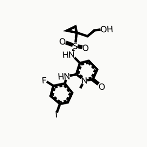 Cn1c(Nc2ccc(I)cc2F)c(NS(=O)(=O)C2(CCO)CC2)ccc1=O